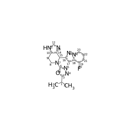 CC(C)c1nnc(N2CCc3[nH]cnc3C2c2cc3c(F)cccn3n2)o1